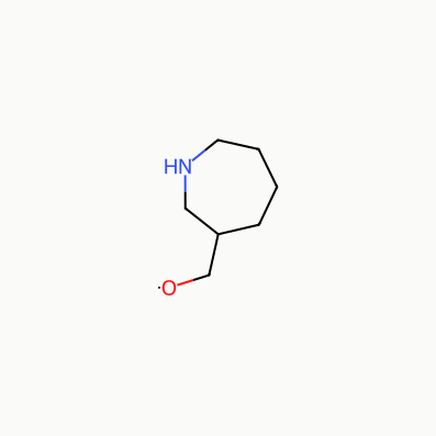 [O]CC1CCCCNC1